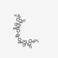 COc1cccc2c(C(=O)N3CCCC3C(=O)Nc3ccc(-c4ncc(-c5ccc6nc([C@@H]7CCCN7C(=O)c7nc(Cl)cc8c(OC)cccc78)[nH]c6c5)o4)cc3)nc(Cl)cc12